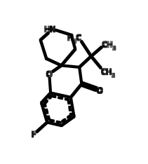 CC(C)(C)C1C(=O)c2ccc(F)cc2OC12CCNCC2